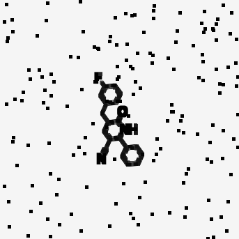 N#Cc1cc(Cc2cccc(F)c2)c(=O)[nH]c1-c1ccccc1